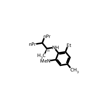 CCCC(CCC)[C@H](C)Nc1c(CC)cc(C)cc1NC